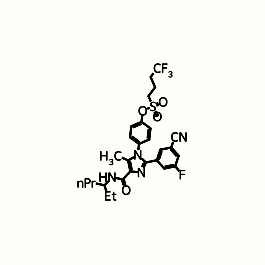 CCCC(CC)NC(=O)c1nc(-c2cc(F)cc(C#N)c2)n(-c2ccc(OS(=O)(=O)CCCC(F)(F)F)cc2)c1C